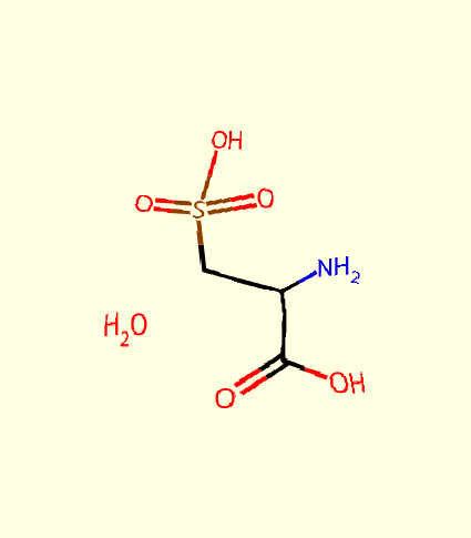 NC(CS(=O)(=O)O)C(=O)O.O